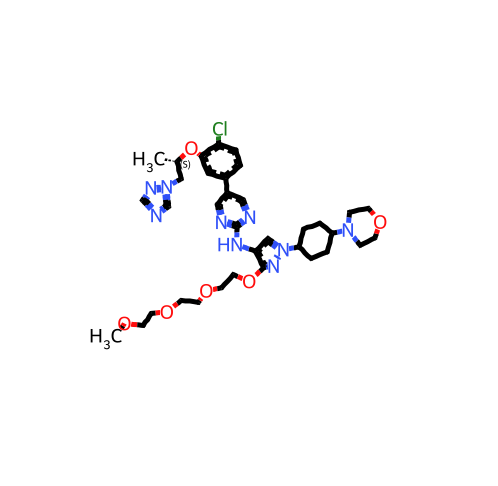 COCCOCCOCCOc1nn(C2CCC(N3CCOCC3)CC2)cc1Nc1ncc(-c2ccc(Cl)c(O[C@@H](C)Cn3cncn3)c2)cn1